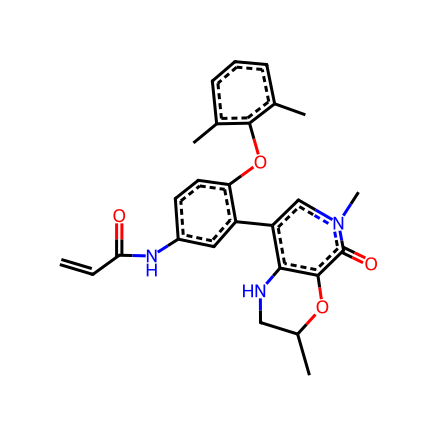 C=CC(=O)Nc1ccc(Oc2c(C)cccc2C)c(-c2cn(C)c(=O)c3c2NCC(C)O3)c1